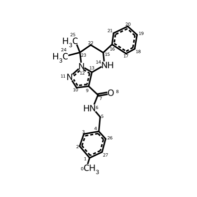 Cc1ccc(CNC(=O)c2cnn3c2NC(c2ccccc2)CC3(C)C)cc1